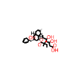 CCC(C)(C)C(=O)O[C@H]1C[C@@H](CC2(O)C=CC=CC2)C[C@@H]2CC[C@H](C)[C@H](CC[C@@H](O)C[C@@H](O)CC(=O)O)[C@@H]21